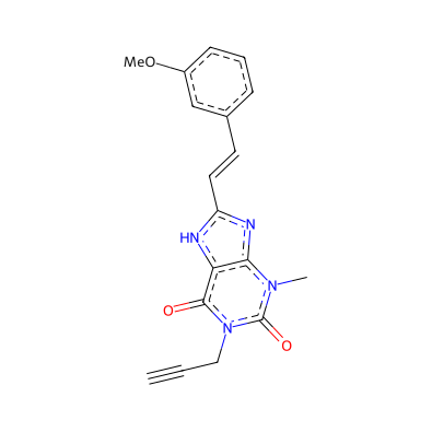 C#CCn1c(=O)c2[nH]c(C=Cc3cccc(OC)c3)nc2n(C)c1=O